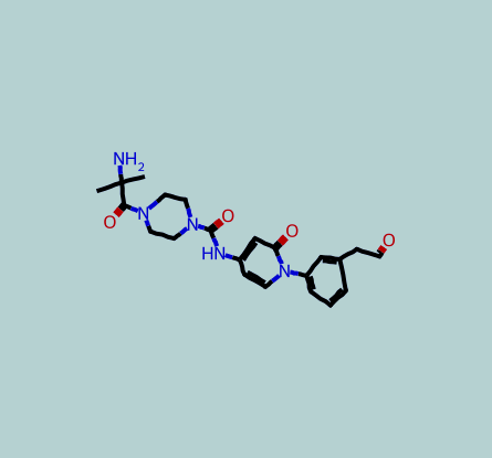 CC(C)(N)C(=O)N1CCN(C(=O)Nc2ccn(-c3cccc(CC=O)c3)c(=O)c2)CC1